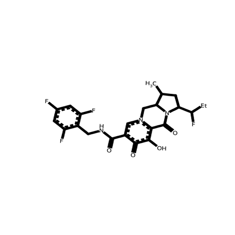 CCC(F)C1CC(C)C2Cn3cc(C(=O)NCc4c(F)cc(F)cc4F)c(=O)c(O)c3C(=O)N21